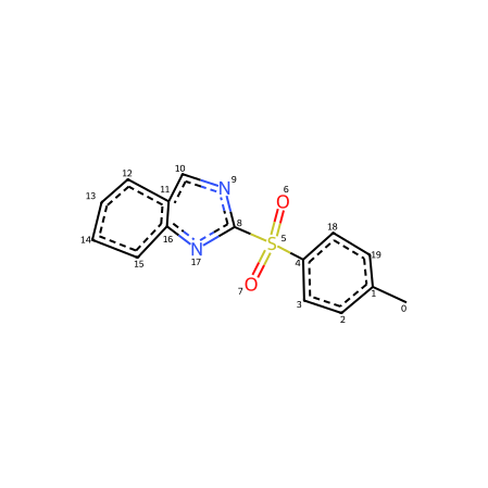 Cc1ccc(S(=O)(=O)c2ncc3ccccc3n2)cc1